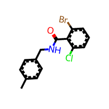 Cc1ccc(CNC(=O)c2c(Cl)cccc2Br)cc1